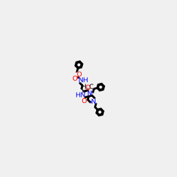 CC(CN1C(=O)[C@H](CCCNC(=O)OCc2ccccc2)NC(=O)C12CCN(CCc1ccccc1)CC2)c1ccccc1